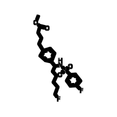 COC(=O)CCCc1ccc(C(CCCCCF)NS(=O)(=O)c2ccc(F)cc2)cc1